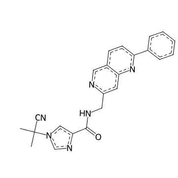 CC(C)(C#N)n1cnc(C(=O)NCc2cc3nc(-c4ccccc4)ccc3cn2)c1